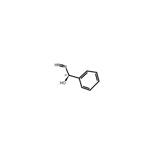 N=N[C@H](O)c1ccccc1